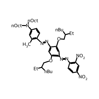 CCCCCCCCN(CCCCCCCC)c1ccc(/N=N/c2cc(OCC(CC)CCCC)c(/N=N/c3ccc([N+](=O)[O-])cc3[N+](=O)[O-])cc2OCC(CC)CCCC)c(C)c1